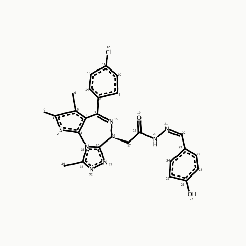 Cc1sc2c(c1C)C(c1ccc(Cl)cc1)=N[C@@H](CC(=O)N/N=C\c1ccc(O)cc1)c1nnc(C)n1-2